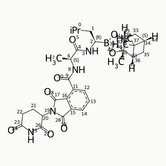 CC(C)C[C@H](NC(=O)[C@H](C)NC(=O)c1cccc2c1C(=O)N(C1CCC(=O)NC1=O)C2=O)B1O[C@@H]2C[C@@H]3C[C@@H](C3(C)C)[C@]2(C)O1